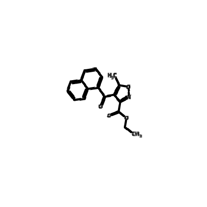 CCOC(=O)c1noc(C)c1C(=O)c1cccc2ccccc12